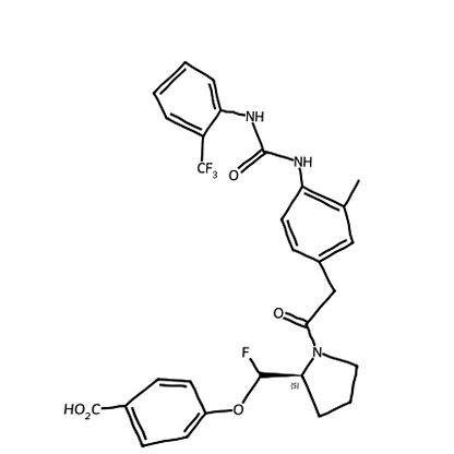 Cc1cc(CC(=O)N2CCC[C@H]2C(F)Oc2ccc(C(=O)O)cc2)ccc1NC(=O)Nc1ccccc1C(F)(F)F